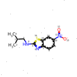 CC(C)CNc1nc2ccc([N+](=O)[O-])cc2s1